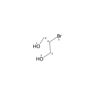 CO.OCCBr